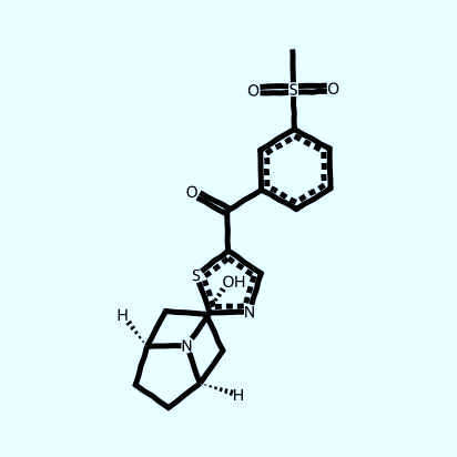 CS(=O)(=O)c1cccc(C(=O)c2cnc(N3[C@@H]4CC[C@H]3C[C@H](O)C4)s2)c1